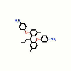 CCCC(c1cc(C)ccc1Oc1ccc(N)cc1)c1cc(C)ccc1Oc1ccc(N)cc1